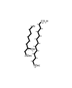 CCCCCCCCCCCC(O)CCCCCC(C)C.CCCCCCCCCCCCCCCCCCCCCC(=O)O